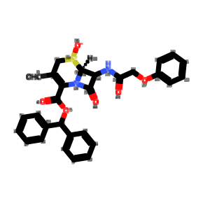 O=CC1=C(C(=O)OC(c2ccccc2)c2ccccc2)N2C(=O)C(NC(=O)COc3ccccc3)[C@@H]2[S+]([O-])C1